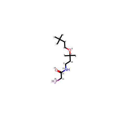 CC(C)(C)CCOC(C)(C)CCNC(=O)CP